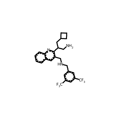 NCC(CC1CCC1)c1nc2ccccc2cc1CNCc1cc(C(F)(F)F)cc(C(F)(F)F)c1